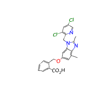 Cc1cc(OCc2ccccc2C(=O)O)cc2c1nc(C)n2Cc1ncc(Cl)cc1Cl